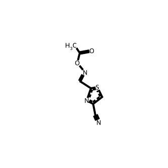 CC(=O)ON=Cc1nc(C#N)cs1